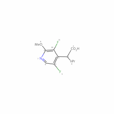 CCCC(C(=O)O)c1c(F)cnc(OC)c1F